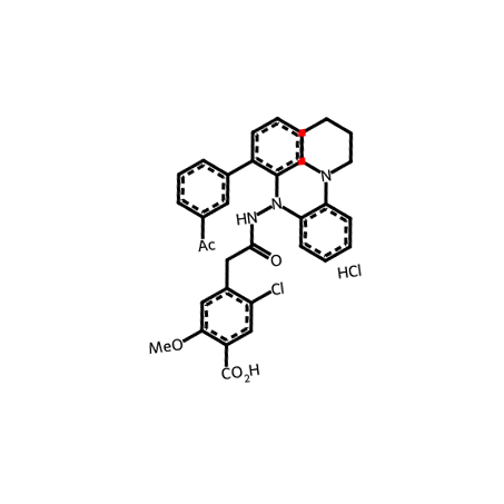 COc1cc(CC(=O)NN(c2ccccc2-c2cccc(C(C)=O)c2)c2ccccc2N2CCCCC2)c(Cl)cc1C(=O)O.Cl